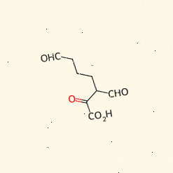 O=CCCCC(C=O)C(=O)C(=O)O